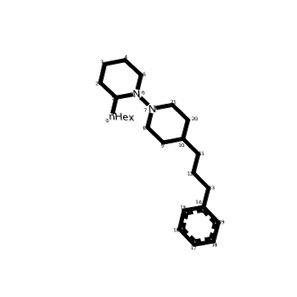 CCCCCCC1CCCCN1N1CCC(CCCc2ccccc2)CC1